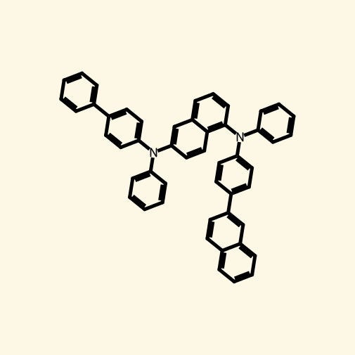 c1ccc(-c2ccc(N(c3ccccc3)c3ccc4c(N(c5ccccc5)c5ccc(-c6ccc7ccccc7c6)cc5)cccc4c3)cc2)cc1